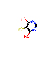 Oc1ncnc(O)c1S